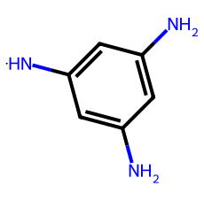 [NH]c1cc(N)cc(N)c1